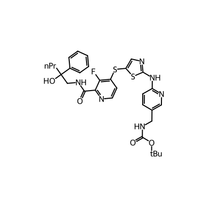 CCCC(O)(CNC(=O)c1nccc(Sc2cnc(Nc3ccc(CNC(=O)OC(C)(C)C)cn3)s2)c1F)c1ccccc1